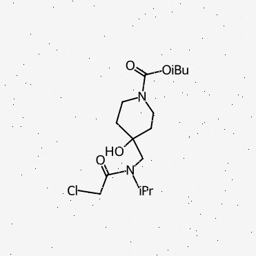 CC(C)COC(=O)N1CCC(O)(CN(C(=O)CCl)C(C)C)CC1